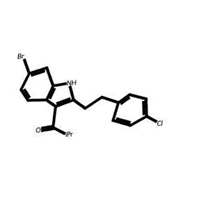 CC(C)C(=O)c1c(CCc2ccc(Cl)cc2)[nH]c2cc(Br)ccc12